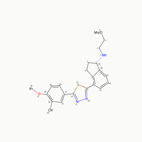 COCCN[C@H]1CCc2c(-c3nnc(-c4ccc(OC(C)C)c(C#N)c4)s3)cccc21